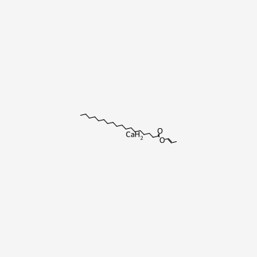 CC=COC(=O)CCCCCCCCCCCCCCCCC.[CaH2]